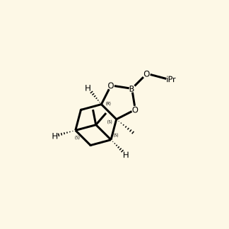 CC(C)OB1O[C@@H]2C[C@@H]3C[C@@H](C3(C)C)[C@]2(C)O1